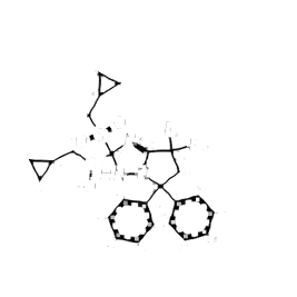 O=S(=O)(CC1CC1)C1([S+]([O-])CC2CC2)N=C2N(N1)C(c1ccccc1)(c1ccccc1)CC2(F)F